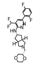 Fc1ccc(F)c(-c2cc(C(F)F)c(N[C@@H]3C[C@@H]4CN(C[C@H]5COCCO5)C[C@@H]4C3)nn2)c1